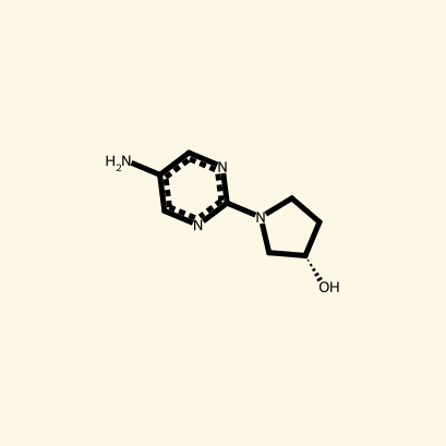 Nc1cnc(N2CC[C@H](O)C2)nc1